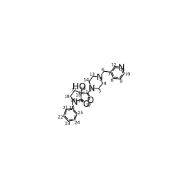 O=C(N1CCN(Cc2cccnc2)CC1)[C@@]1(O)CCN(c2ccccc2)C1=O